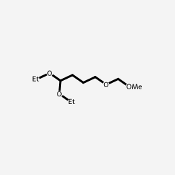 CCOC(CCCOCOC)OCC